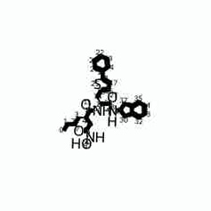 CCCC[C@H](CC(=O)NO)C(=O)N[C@@H](Cc1ccc(-c2ccccc2)s1)C(=O)NC1Cc2ccccc2C1